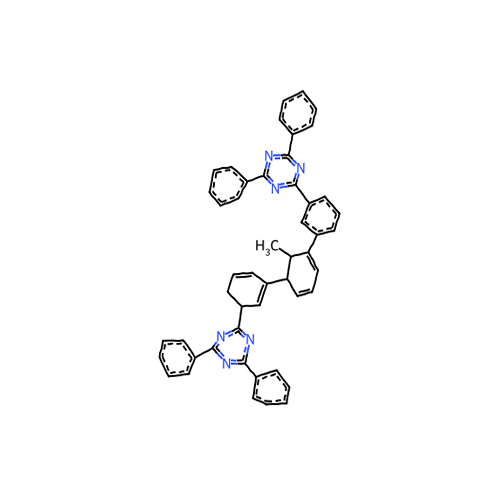 CC1C(c2cccc(-c3nc(-c4ccccc4)nc(-c4ccccc4)n3)c2)=CC=CC1C1=CC(c2nc(-c3ccccc3)nc(-c3ccccc3)n2)CC=C1